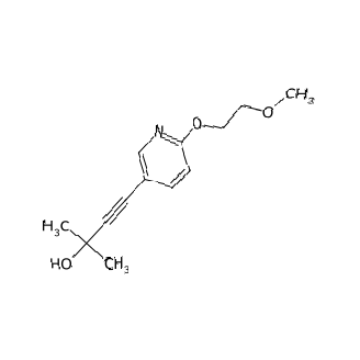 COCCOc1ccc(C#CC(C)(C)O)cn1